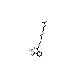 CC(C)CCCCCCCCCCOC(=O)c1ccccc1C(=O)O